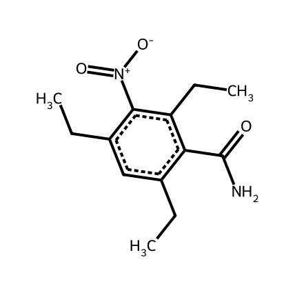 CCc1cc(CC)c([N+](=O)[O-])c(CC)c1C(N)=O